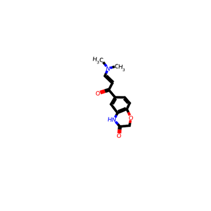 CN(C)/C=C/C(=O)c1ccc2c(c1)NC(=O)CO2